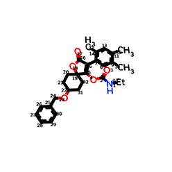 CCNC(=O)OC1=C(c2cc(C)c(C)cc2C)C(=O)OC12CCC(OCc1ccccc1)CC2